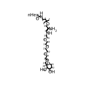 CCCCCCC(=O)NCCC(C)(C)OC/C(N)=C/NCCOCCOCCOCCOC[C@@]1(C)OCC[C@@H](O)[C@H]1O